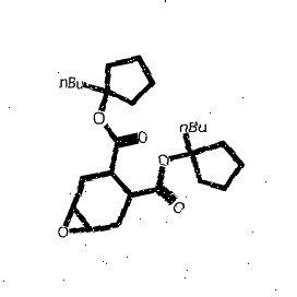 CCCCC1(OC(=O)C2CC3OC3CC2C(=O)OC2(CCCC)CCCC2)CCCC1